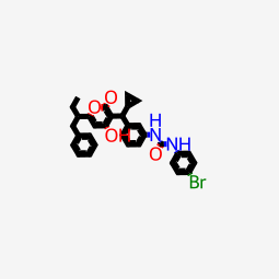 CCC(Cc1ccccc1)c1cc(O)c(C(c2cccc(NC(=O)Nc3ccc(Br)cc3)c2)C2CC2)c(=O)o1